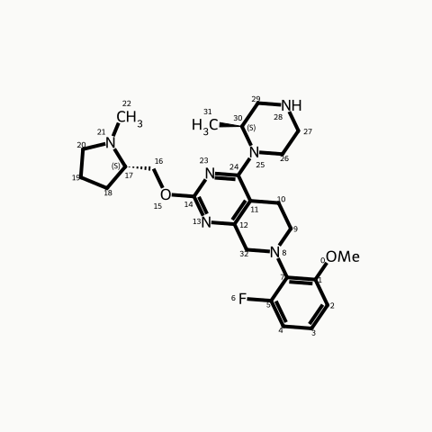 COc1cccc(F)c1N1CCc2c(nc(OC[C@@H]3CCCN3C)nc2N2CCNC[C@@H]2C)C1